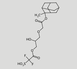 CC1(OC(=O)COCC(O)COC(=O)C(F)(F)S(=O)(=O)O)C2CC3CC(C2)CC1C3